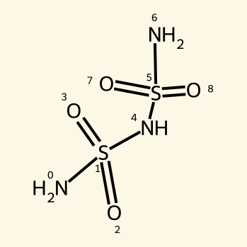 NS(=O)(=O)NS(N)(=O)=O